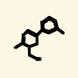 [CH2]C1=NC=C(c2cc(C)ccn2)CN1CO